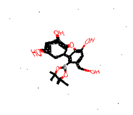 CC1(C)OB(c2c(CO)cc(O)c3oc4c(O)cc(O)cc4c23)OC1(C)C